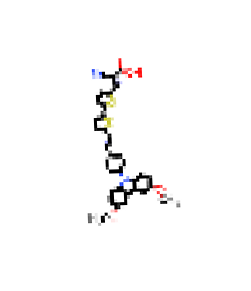 COc1ccc2c(c1)c1cc(OC)ccc1n2C1=CC=C(/C=C/c2ccc(-c3ccc(/C=C(\C#N)C(=O)O)s3)s2)CC1